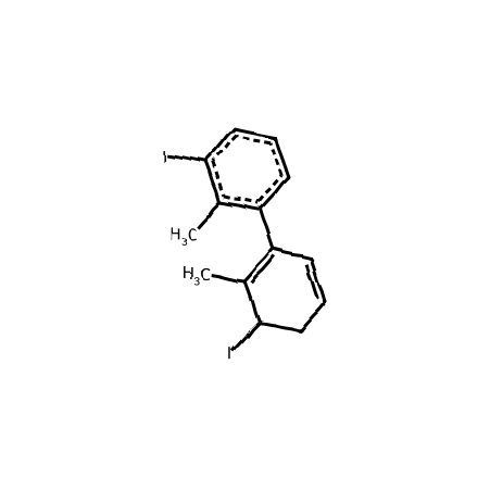 CC1=C(c2cccc(I)c2C)C=CCC1I